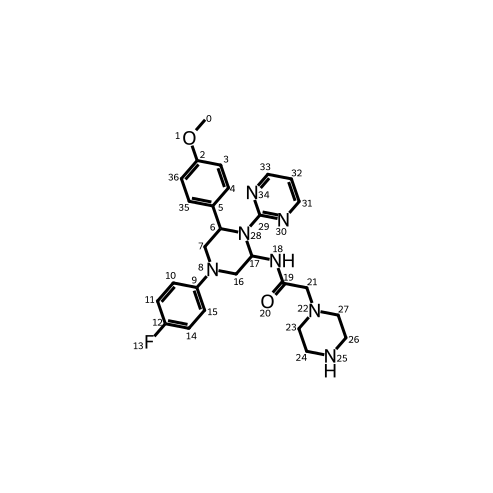 COc1ccc(C2CN(c3ccc(F)cc3)CC(NC(=O)CN3CCNCC3)N2c2ncccn2)cc1